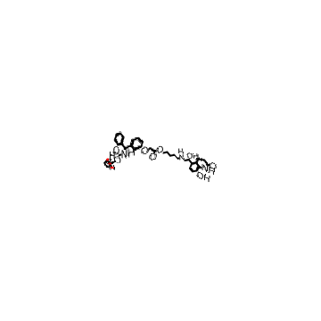 O=C(COc1cccc(C(NC(=O)O[C@H]2CN3CCC2CC3)c2ccccc2)c1)OCCCCCNC[C@H](O)c1ccc(O)c2[nH]c(=O)ccc12